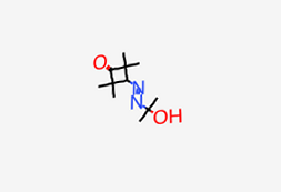 CC(C)(O)N=NC1C(C)(C)C(=O)C1(C)C